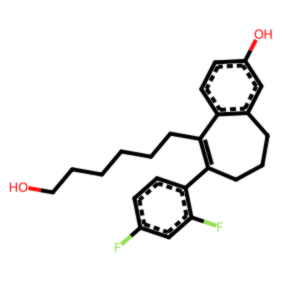 OCCCCCCC1=C(c2ccc(F)cc2F)CCCc2cc(O)ccc21